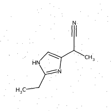 CCc1nc(C(C)C#N)c[nH]1